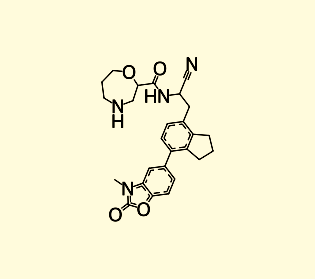 Cn1c(=O)oc2ccc(-c3ccc(CC(C#N)NC(=O)C4CNCCCO4)c4c3CCC4)cc21